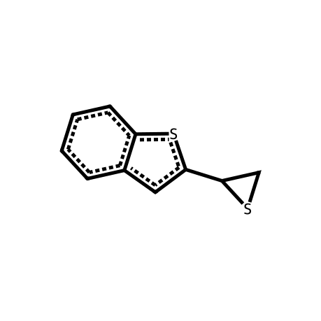 c1ccc2sc(C3CS3)cc2c1